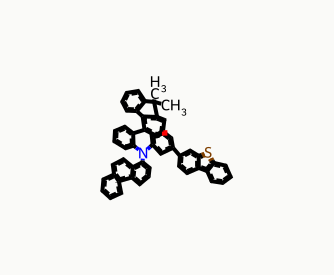 CC1(C)c2ccccc2-c2c(-c3ccccc3N(c3cccc(-c4ccc5c(c4)sc4ccccc45)c3)c3cccc4c3ccc3ccccc34)cccc21